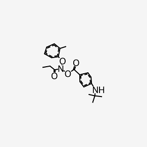 CCC(=O)N(OC(=O)c1ccc(NC(C)(C)C)cc1)Oc1ccccc1C